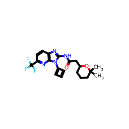 CC1(C)CCCC(CC(=O)Nc2nc3ccc(C(F)(F)F)nc3n2C2=CC=C2)O1